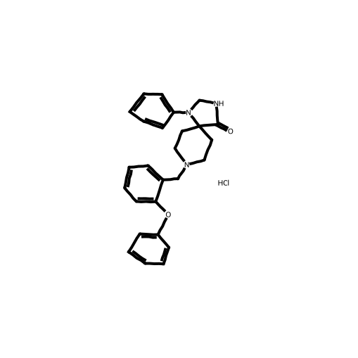 Cl.O=C1NCN(c2ccccc2)C12CCN(Cc1ccccc1Oc1ccccc1)CC2